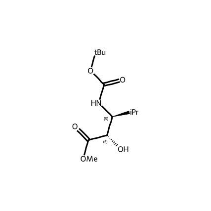 COC(=O)[C@@H](O)[C@@H](NC(=O)OC(C)(C)C)C(C)C